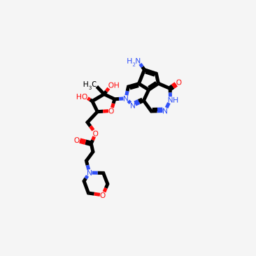 CC1(O)C(O)C(COC(=O)CCN2CCOCC2)OC1n1cc2c(N)cc3c(=O)[nH]ncc(n1)c23